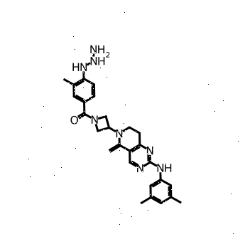 C=C1c2cnc(Nc3cc(C)cc(C)c3)nc2CCN1C1CN(C(=O)c2ccc(NNN)c(C)c2)C1